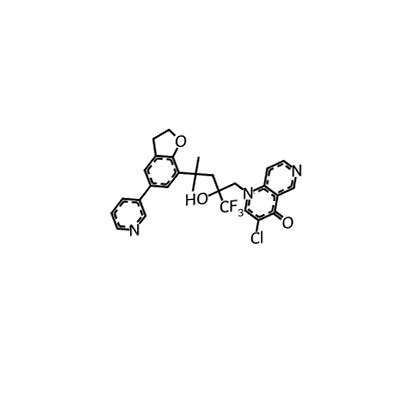 CC(C)(CC(O)(Cn1cc(Cl)c(=O)c2cnccc21)C(F)(F)F)c1cc(-c2cccnc2)cc2c1OCC2